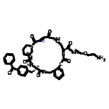 NCCOCCNC(=O)[C@@H]1CCNC(=O)/C=C/C(=O)N2CCC[C@H](C2)C(=O)N[C@@H](Cc2ccc(C(=O)c3ccccc3)cc2)C(=O)NCc2ccccc2CC(=O)N1